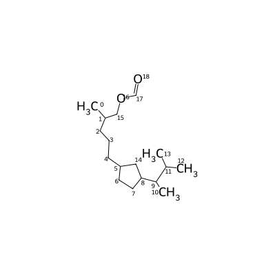 CC(CCCC1CCC(C(C)C(C)C)C1)COC=O